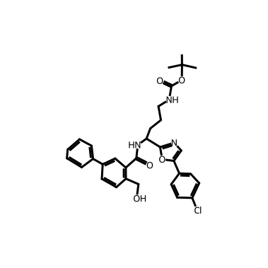 CC(C)(C)OC(=O)NCCCC(NC(=O)c1cc(-c2ccccc2)ccc1CO)c1ncc(-c2ccc(Cl)cc2)o1